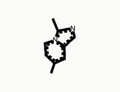 Cc1ccn2c(C)ncc2c1